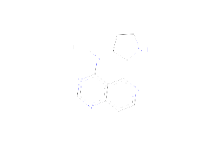 CN(c1ncnc2ccncc12)[C@@H]1CCNC1